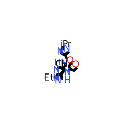 CCn1ncc2c(NC3CCOCC3)c(CNC(=O)c3cnc(C(C)C)nc3)c(C)nc21